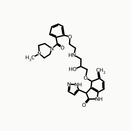 C=C1C=CC2=C(C1OCC(O)CNCCOc1ccccc1C(=O)N1CCN(C)CC1)C(c1ccn[nH]1)C(=O)N2